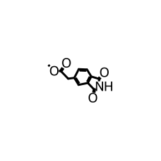 COC(=O)Cc1ccc2c(c1)C(=O)NC2=O